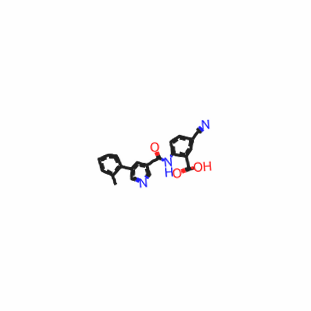 Cc1ccccc1-c1cncc(C(=O)Nc2ccc(C#N)cc2C(=O)O)c1